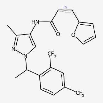 Cc1nn(C(C)c2ccc(C(F)(F)F)cc2C(F)(F)F)cc1NC(=O)/C=C\c1ccco1